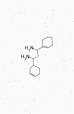 NC(CC(N)C1CC=CCC1)C1=CCCCC1